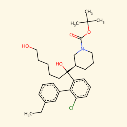 CCc1cccc(-c2c(Cl)cccc2C(O)(CCCCCO)[C@@H]2CCCN(C(=O)OC(C)(C)C)C2)c1